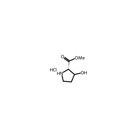 COC(=O)[C@H]1NCCC1O.Cl